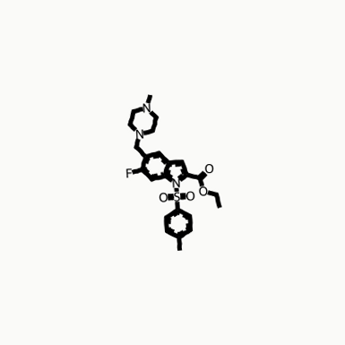 CCOC(=O)c1cc2cc(CN3CCN(C)CC3)c(F)cc2n1S(=O)(=O)c1ccc(C)cc1